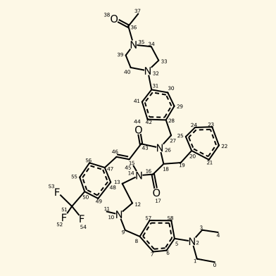 CCN(CC)c1ccc(CN(C)CCN(C)C(=O)C(Cc2ccccc2)N(Cc2ccc(N3CCN(C(C)=O)CC3)cc2)C(=O)C=Cc2ccc(C(F)(F)F)cc2)cc1